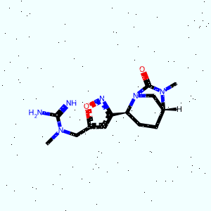 CN(Cc1cc([C@@H]2CC[C@@H]3CN2C(=O)N3C)no1)C(=N)N